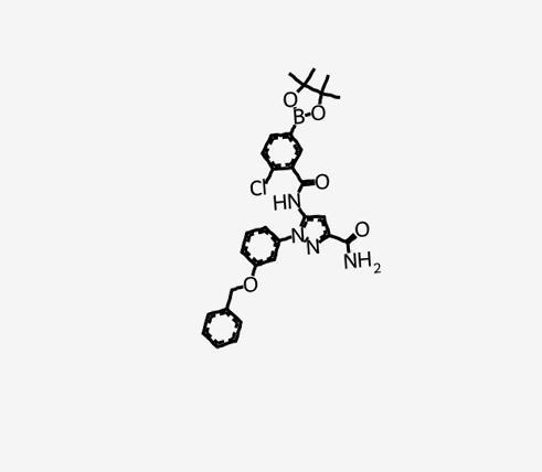 CC1(C)OB(c2ccc(Cl)c(C(=O)Nc3cc(C(N)=O)nn3-c3cccc(OCc4ccccc4)c3)c2)OC1(C)C